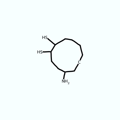 NC1CCCCCCC(S)C(S)CC1